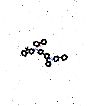 CC1(C)c2ccccc2-c2ccc(N(c3ccc(-c4ccc5c(c4)c4ccccc4n5-c4ccc(-c5ccccc5)cc4)cc3)c3cccc4c3oc3ccccc34)cc21